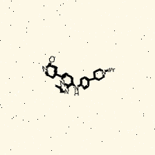 Cc1cnc2c(Nc3ccc(C4CCN(C(C)C)CC4)cc3)ccc(C3=CC(=O)N=CC3)n12